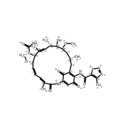 CO[C@H]1/C=C\C=C(/C)C(=O)NC2=CC(=O)C(NC(=O)c3snnc3C)=C(C[C@@H](C)C[C@H](OC)[C@H](O)[C@@H](C)/C=C(\C)[C@@H]1OC(N)=O)C2=O